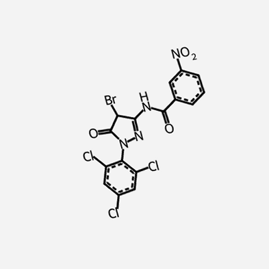 O=C(NC1=NN(c2c(Cl)cc(Cl)cc2Cl)C(=O)C1Br)c1cccc([N+](=O)[O-])c1